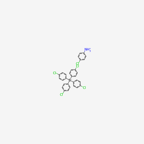 Clc1ccc([B-](c2ccc(Cl)cc2)(c2ccc(Cl)cc2)c2ccc(Cl)cc2)cc1.[NH3+]c1ccc(Cl)cc1